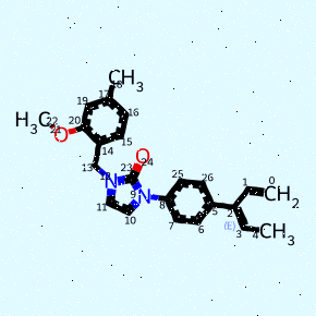 C=C/C(=C\C)c1ccc(-n2ccn(Cc3ccc(C)cc3OC)c2=O)cc1